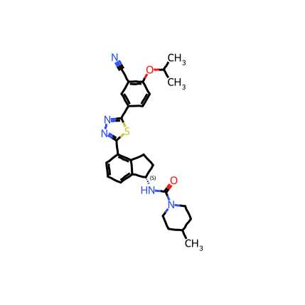 CC1CCN(C(=O)N[C@H]2CCc3c(-c4nnc(-c5ccc(OC(C)C)c(C#N)c5)s4)cccc32)CC1